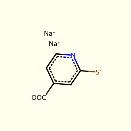 O=C([O-])c1ccnc([S-])c1.[Na+].[Na+]